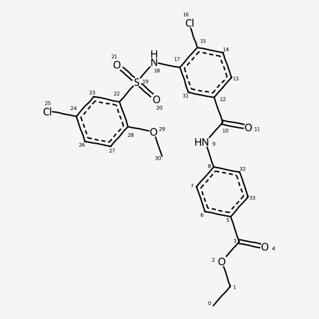 CCOC(=O)c1ccc(NC(=O)c2ccc(Cl)c(NS(=O)(=O)c3cc(Cl)ccc3OC)c2)cc1